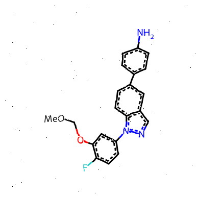 COCOc1cc(-n2ncc3cc(-c4ccc(N)cc4)ccc32)ccc1F